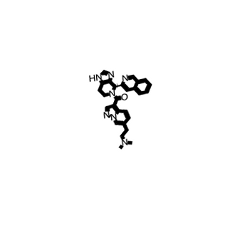 CN(C)CCc1ccc2c(C(=O)N3CCc4[nH]cnc4[C@H]3c3cc4ccccc4cn3)cnn2c1